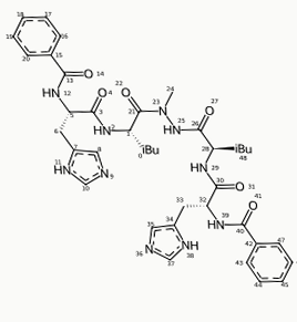 CCC(C)[C@H](NC(=O)[C@H](Cc1cnc[nH]1)NC(=O)c1ccccc1)C(=O)N(C)NC(=O)[C@H](NC(=O)[C@@H](Cc1cnc[nH]1)NC(=O)c1ccccc1)C(C)CC